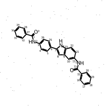 O=C(Nc1ccc(-c2cc3cc(NC(=O)c4ccccc4)ccc3[nH]2)cc1)c1ccccc1